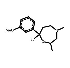 CCC1(c2cccc(OC)c2)CCN(C)CC(C)O1